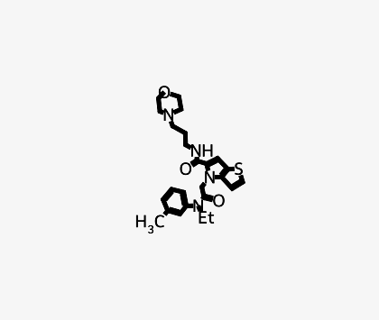 CCN(C(=O)Cn1c(C(=O)NCCCN2CCOCC2)cc2sccc21)c1cccc(C)c1